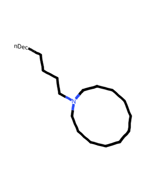 CCCCCCCCCCCCCCN1CCCCCCCCCCC1